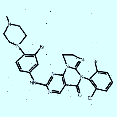 CN1CCN(c2ccc(Nc3ncc4c(n3)N3CCN=C3N(c3c(Cl)cccc3Br)C4=O)cc2Br)CC1